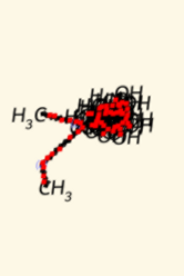 CCCCCCCC/C=C\CCCCCCCCCCCCCCCC(=O)N[C@@H](CO[C@@H]1OC(CO)[C@@H](O[C@@H]2OC(CO)[C@H](O[C@@H]3OC(CO)[C@H](O)[C@H](O[C@@H]4OC(CO)[C@H](O)[C@H](O[C@@H]5OC(CO)[C@H](O)[C@H](O[C@]6(C(=O)O)CC(O)[C@@H](NC(=O)CO)C([C@H](O)[C@@H](CO)O[C@]7(C(=O)O)CC(O)[C@@H](NC(=O)CO)C([C@H](O)[C@H](O)CO)O7)O6)C5O)C4NC(C)=O)C3O)[C@H](O)C2O)[C@H](O)C1O)[C@H](O)/C=C/CCCCCCCCCCCCC